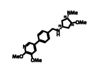 CN[C@H]1C[C@@H](NCc2ccc(-c3cnc(OC)c(OC)c3)cc2)C[C@@H]1OC